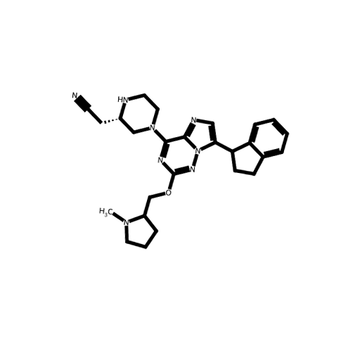 CN1CCCC1COc1nc(N2CCN[C@@H](CC#N)C2)c2ncc(C3CCc4ccccc43)n2n1